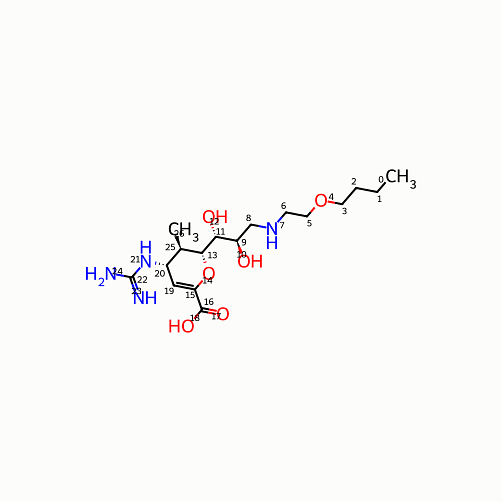 CCCCOCCNC[C@@H](O)[C@@H](O)[C@@H]1OC(C(=O)O)=C[C@H](NC(=N)N)[C@H]1C